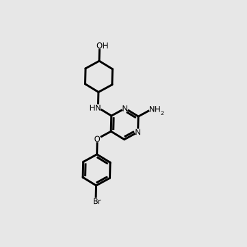 Nc1ncc(Oc2ccc(Br)cc2)c(NC2CCC(O)CC2)n1